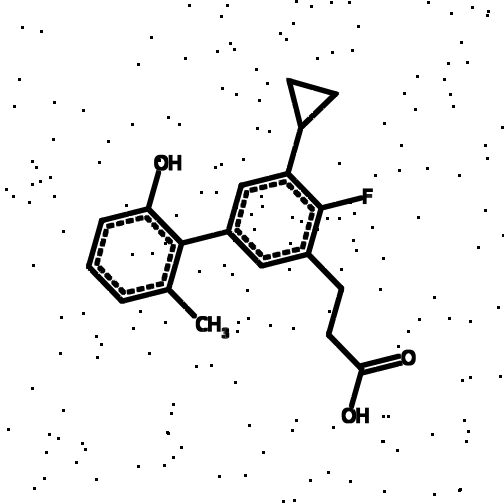 Cc1cccc(O)c1-c1cc(CCC(=O)O)c(F)c(C2CC2)c1